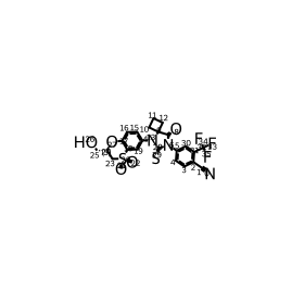 N#Cc1ccc(N2C(=O)C3(CCC3)N(c3ccc4c(c3)S(=O)(=O)C[C@H](CO)O4)C2=S)cc1C(F)(F)F